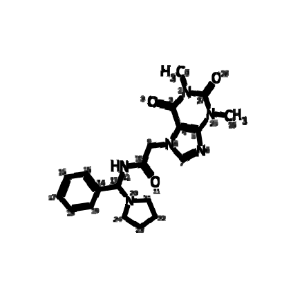 Cn1c(=O)c2c(ncn2CC(=O)NC(c2ccccc2)N2CCCC2)n(C)c1=O